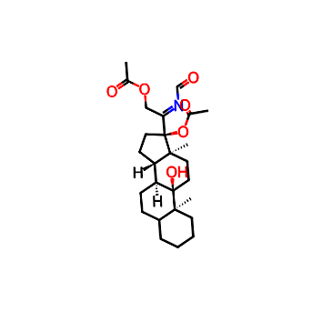 CC(=O)OCC(=NC=O)[C@@]1(OC(C)=O)CC[C@H]2[C@@H]3CCC4CCCC[C@]4(C)[C@@]3(O)CC[C@@]21C